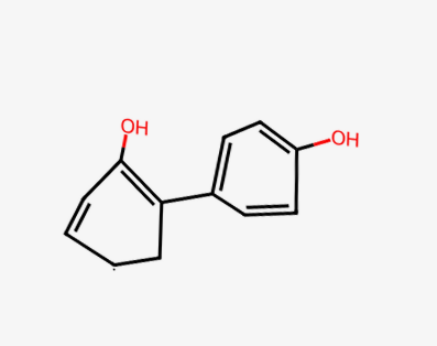 OC1=C(c2ccc(O)cc2)C[CH]C=C1